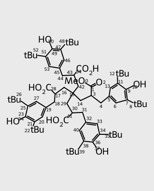 COC(=O)C(Cc1cc(C(C)(C)C)c(O)c(C(C)(C)C)c1)CC(CC(Cc1cc(C(C)(C)C)c(O)c(C(C)(C)C)c1)C(=O)O)(CC(Cc1cc(C(C)(C)C)c(O)c(C(C)(C)C)c1)C(=O)O)CC(Cc1cc(C(C)(C)C)c(O)c(C(C)(C)C)c1)C(=O)O